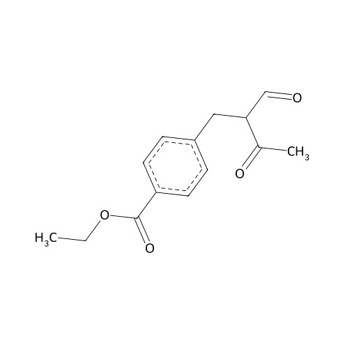 CCOC(=O)c1ccc(CC(C=O)C(C)=O)cc1